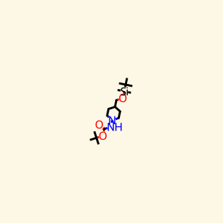 CC(C)(C)OC(=O)NN1CCC(CO[Si](C)(C)C(C)(C)C)CC1